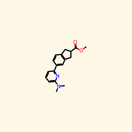 COC(=O)C1Cc2ccc(-c3cccc(N(C)C)n3)cc2C1